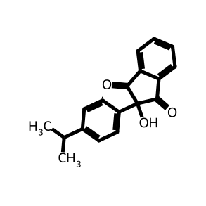 CC(C)c1c[c]c(C2(O)C(=O)c3ccccc3C2=O)cc1